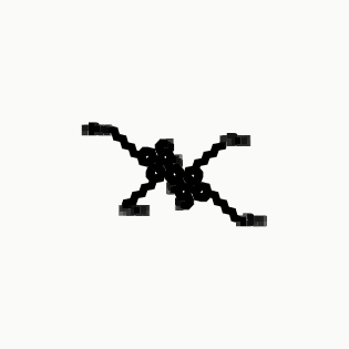 CCCCCCCCCCCCCCCCc1ccc(C2(c3ccc(CCCCCCCCCCCCCCCC)cc3)c3ccsc3-c3sc4cc5c6c(sc5cc4c32)-c2sccc2C6(c2ccc(CCCCCCCCCCCCCCCC)cc2)c2ccc(CCCCCCCCCCCCCCCC)cc2)cc1